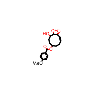 COc1ccc(C(=O)OC2CCC=CC(=O)C(O)C(O)CC2)cc1